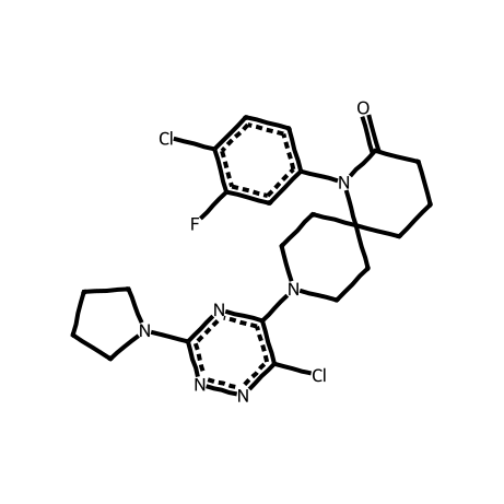 O=C1CCCC2(CCN(c3nc(N4CCCC4)nnc3Cl)CC2)N1c1ccc(Cl)c(F)c1